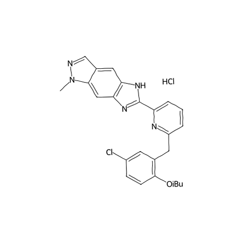 CC(C)COc1ccc(Cl)cc1Cc1cccc(-c2nc3cc4c(cnn4C)cc3[nH]2)n1.Cl